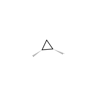 [CH2][C@H]1C[C@H]1C